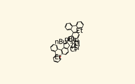 CCCCC1=Cc2c(ccc(CC)c2-c2ccccc2-c2ccccc2)[CH]1[Zr]([Cl])([Cl])([CH]1C(CCCC)=Cc2c1ccc(CC)c2-c1ccccc1-c1ccccc1)[SiH](C)C